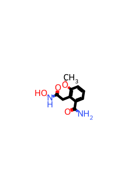 COc1cccc(C(N)=O)c1CC(=O)NO